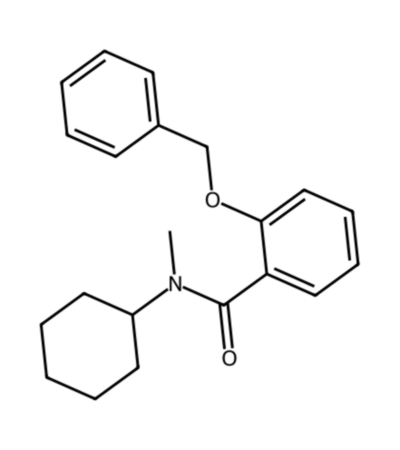 CN(C(=O)c1ccccc1OCc1ccccc1)C1CCCCC1